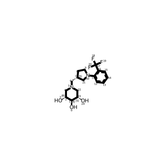 O[C@H]1[C@H](O)CN(C[C@@H]2CCN(c3ccccc3C(F)(F)F)C2)C[C@@H]1O